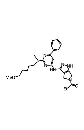 CCC(=O)N1Cc2[nH]nc(Nc3cc(-c4ccccc4)nc(N(C)CCCCCOC)n3)c2C1